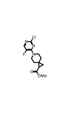 COC(=O)C1CC12CCN(c1nc(Cl)ncc1F)CC2